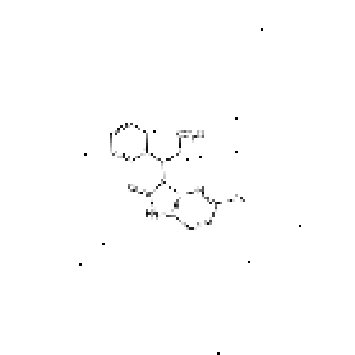 CCOC(=O)CC(c1ccccc1)n1c(=O)[nH]c2ccc(C#N)nc21